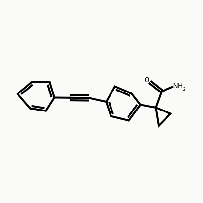 NC(=O)C1(c2ccc(C#Cc3ccccc3)cc2)CC1